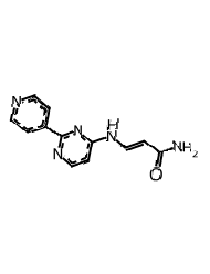 NC(=O)C=CNc1ccnc(-c2ccncc2)n1